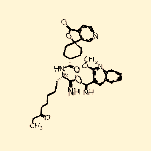 CCC(=O)CCCCC[C@H](NC(=O)[C@H]1CC[C@@]2(CC1)OC(=O)c1ccncc12)C(=N)OC(=N)c1cc2ccccc2nc1OC